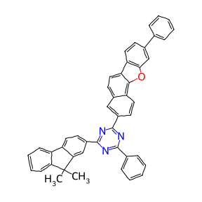 CC1(C)c2ccccc2-c2ccc(-c3nc(-c4ccccc4)nc(-c4ccc5c(ccc6c7ccc(-c8ccccc8)cc7oc56)c4)n3)cc21